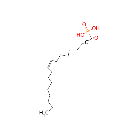 CCCCCCCC/C=C\CCCCCCCC(=O)P(=O)(O)O